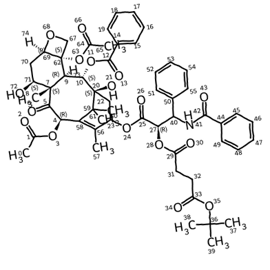 CC(=O)O[C@H]1C(=O)[C@@]2(C)[C@H]([C@H](OC(=O)c3ccccc3)[C@]3(O)CC(OC(=O)[C@H](OC(=O)CCC(=O)OC(C)(C)C)C(NC(=O)c4ccccc4)c4ccccc4)C(C)=C1C3(C)C)[C@]1(OC(C)=O)CO[C@@H]1C[C@@H]2O